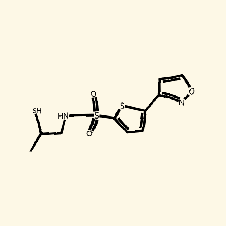 CC(S)CNS(=O)(=O)c1ccc(-c2ccon2)s1